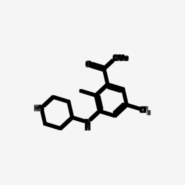 COC(=O)c1cc(C(F)(F)F)cc(NC2CCNCC2)c1C